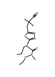 CCCN(C(=O)N(C)OCC)c1nnc(CC(C)(C)C#N)s1